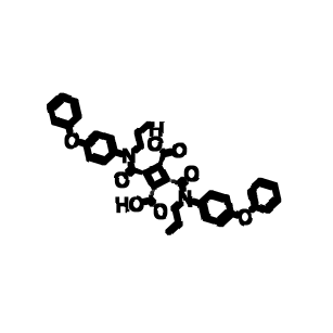 CCCN(c1ccc(Oc2ccccc2)cc1)C(=O)[C@H]1[C@H](C(=O)O)[C@H](C(=O)N(CCC)c2ccc(Oc3ccccc3)cc2)[C@H]1C(=O)O